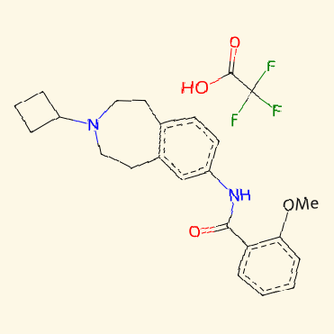 COc1ccccc1C(=O)Nc1ccc2c(c1)CCN(C1CCC1)CC2.O=C(O)C(F)(F)F